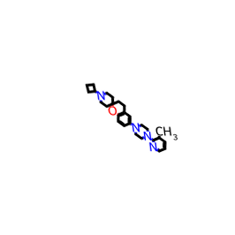 CC1C=CC=NC1N1CCN(c2ccc3c(c2)CCC2(CCN(C4CCC4)CC2)O3)CC1